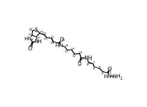 NNC(=O)CCCCCNC(=O)CCCCCNC(=O)CCCCC1SCC2NC(=O)NC21